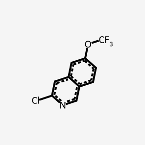 FC(F)(F)Oc1ccc2cnc(Cl)cc2c1